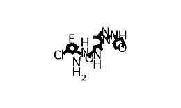 Cc1cnc(NC2CCOCC2)nc1-c1c[nH]c(C(=O)N[C@H](CN)c2cc(F)cc(Cl)c2)c1